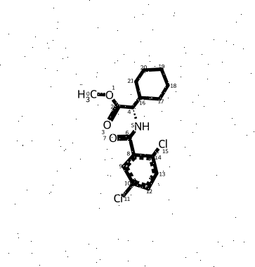 COC(=O)[C@@H](NC(=O)c1cc(Cl)ccc1Cl)C1CCCCC1